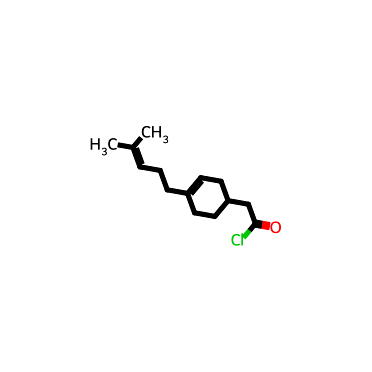 CC(C)=CCCC1=CCC(CC(=O)Cl)CC1